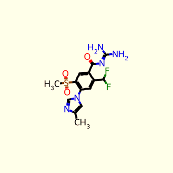 Cc1cn(-c2cc(C(F)F)c(C(=O)N=C(N)N)cc2S(C)(=O)=O)cn1